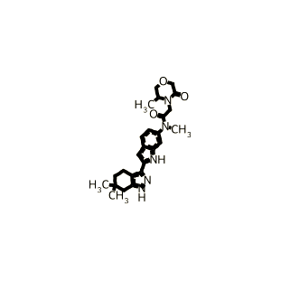 CC1COCC(=O)N1CC(=O)N(C)c1ccc2cc(-c3n[nH]c4c3CCC(C)(C)C4)[nH]c2c1